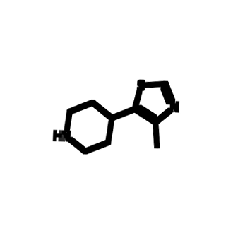 Cc1ncsc1C1CCNCC1